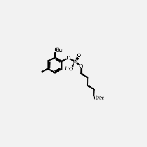 CCCCCCCCCCCCCCOP(=O)(O)Oc1ccc(C)cc1C(C)(C)C